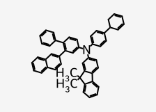 CC1(C)c2ccccc2-c2ccc(N(c3ccc(C4C=CC=CC4)cc3)c3ccc(-c4ccccc4)c(-c4ccc5ccccc5c4)c3)cc21